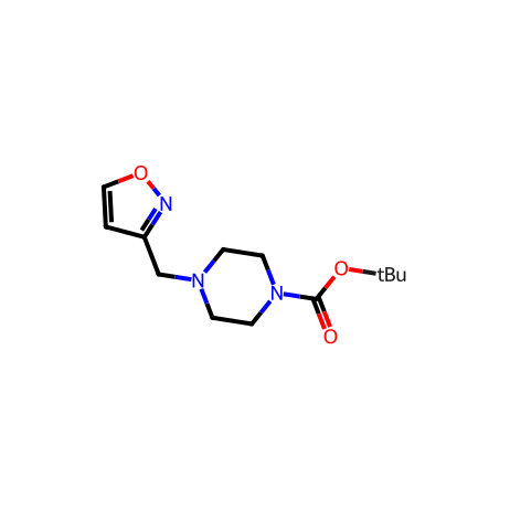 CC(C)(C)OC(=O)N1CCN(Cc2ccon2)CC1